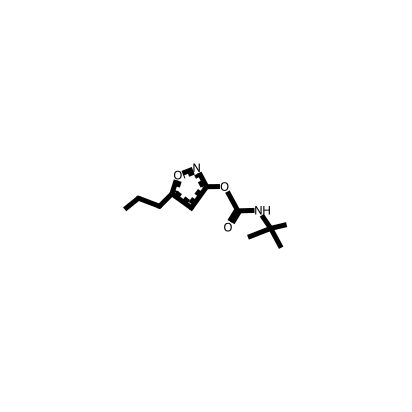 CCCc1cc(OC(=O)NC(C)(C)C)no1